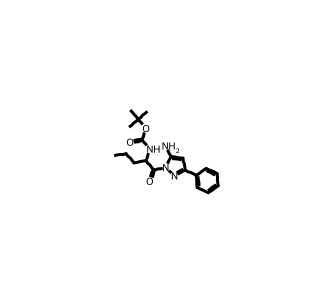 CCCC(NC(=O)OC(C)(C)C)C(=O)n1nc(-c2ccccc2)cc1N